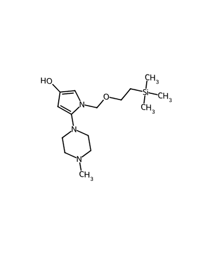 CN1CCN(c2cc(O)cn2COCC[Si](C)(C)C)CC1